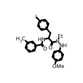 CCN(Nc1ccc(OC)cc1)C(=O)C(Cc1ccc(I)cc1)NC(=O)c1cccc(C)c1